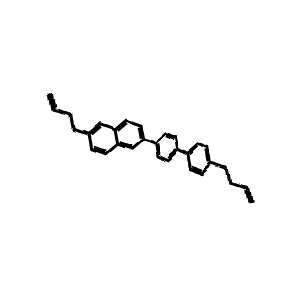 C=CCCc1ccc(-c2ccc(-c3ccc4cc(CCC=C)ccc4c3)cc2)cc1